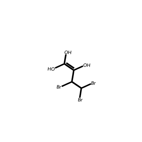 OC(O)=C(O)C(Br)C(Br)Br